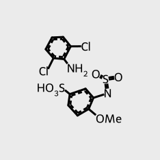 COc1ccc(S(=O)(=O)O)cc1N=S(=O)=O.Nc1c(Cl)cccc1Cl